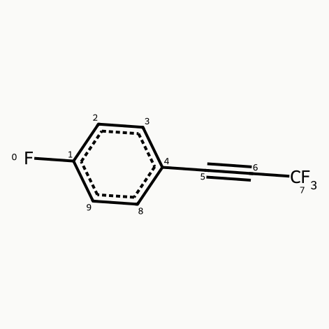 Fc1ccc(C#CC(F)(F)F)cc1